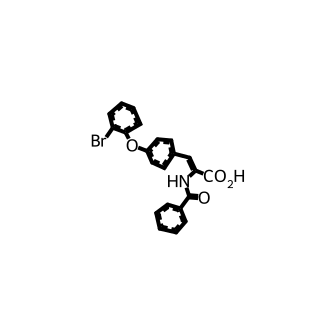 O=C(O)C(=Cc1ccc(Oc2ccccc2Br)cc1)NC(=O)c1ccccc1